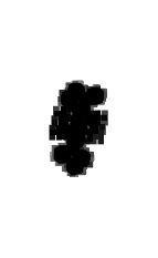 Oc1cc(N(c2ccccc2)c2cccc3ccccc23)cc(O)c1C1C(O)C(c2c(O)cc(N(c3ccccc3)c3cccc4ccccc34)cc2O)C1O